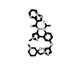 CN1CCCC(O)(Cn2cc(Oc3ccc(OC(F)F)c(-c4nn(C)cc4NC(=O)c4cnn5cccnc45)c3)cn2)C1